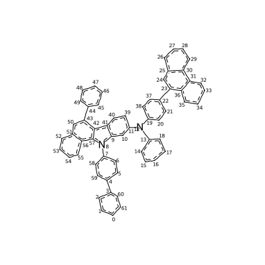 c1ccc(-c2ccc(-n3c4cc(N(c5ccccc5)c5ccc(-c6cc7ccccc7c7ccccc67)cc5)ccc4c4c(-c5ccccc5)cc5ccccc5c43)cc2)cc1